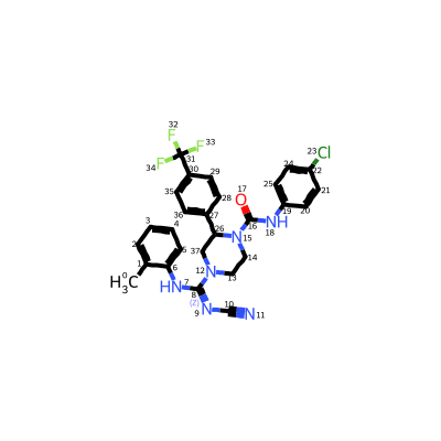 Cc1ccccc1N/C(=N/C#N)N1CCN(C(=O)Nc2ccc(Cl)cc2)C(c2ccc(C(F)(F)F)cc2)C1